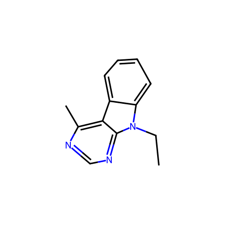 CCn1c2ccccc2c2c(C)ncnc21